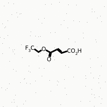 O=C(O)/C=C/C(=O)OCC(F)(F)F